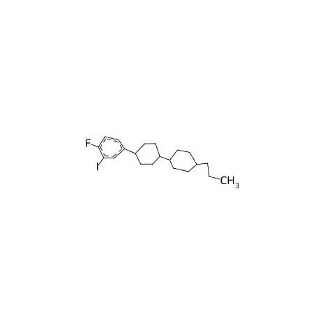 CCCC1CCC(C2CCC(c3ccc(F)c(I)c3)CC2)CC1